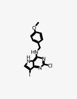 COc1ccc(CNc2nc(Cl)nc3c(I)c[nH]c23)cc1